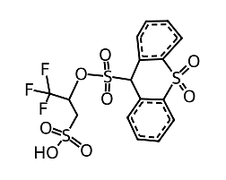 O=S(=O)(O)CC(OS(=O)(=O)C1c2ccccc2S(=O)(=O)c2ccccc21)C(F)(F)F